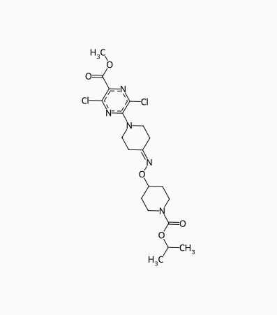 COC(=O)c1nc(Cl)c(N2CCC(=NOC3CCN(C(=O)OC(C)C)CC3)CC2)nc1Cl